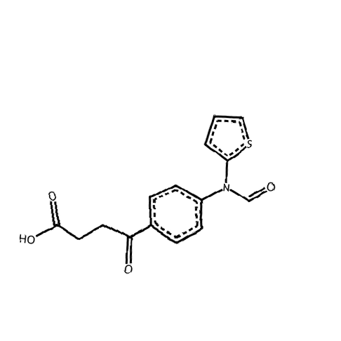 O=CN(c1ccc(C(=O)CCC(=O)O)cc1)c1cccs1